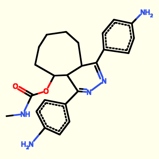 CNC(=O)OC1CCCCCC2C(c3ccc(N)cc3)=NN=C(c3ccc(N)cc3)C12